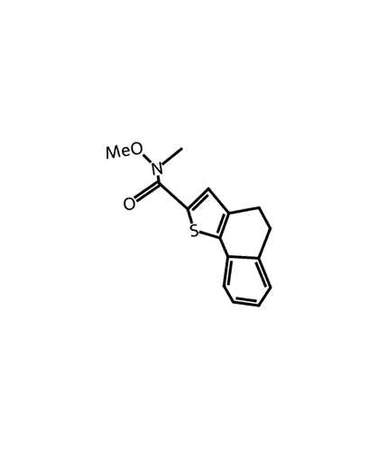 CON(C)C(=O)c1cc2c(s1)-c1ccccc1CC2